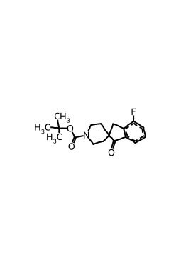 CC(C)(C)OC(=O)N1CCC2(CC1)Cc1c(F)cccc1C2=O